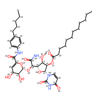 CCCCCCCCCCCC(=O)O[C@@H]1[C@H](OC)[C@@H]([C@@H](O[C@H]2OC(C(=O)Nc3ccc(CCCCC)cc3)=C[C@H](O)[C@@H]2O)C(N)=O)O[C@H]1n1ccc(=O)[nH]c1=O